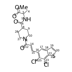 COC(=O)C(C)NC(=O)C1CCN(C(=O)C=Cc2cc3ccsc3c(Cl)c2Cl)CC1